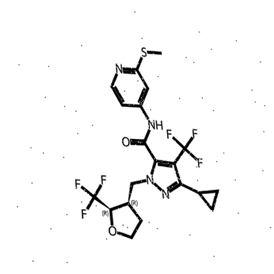 CSc1cc(NC(=O)c2c(C(F)(F)F)c(C3CC3)nn2C[C@H]2CCO[C@H]2C(F)(F)F)ccn1